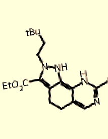 CCOC(=O)C1=C2CCC3=CN=C(I)NC3=C2NN1CCC(C)(C)C